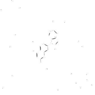 Fc1ccc2cnc(-n3ccc4ccncc43)cc2n1